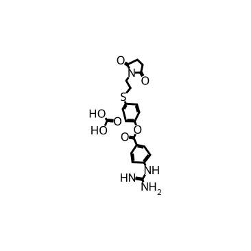 N=C(N)Nc1ccc(C(=O)Oc2ccc(SCCN3C(=O)CCC3=O)cc2)cc1.O=C(O)O